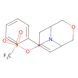 O=S(=O)(OC1=CC2COCC(C1)N2Cc1ccccc1)C(F)(F)F